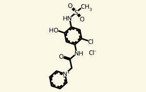 CS(=O)(=O)Nc1cc(Cl)c(NC(=O)C[n+]2ccccc2)cc1O.[Cl-]